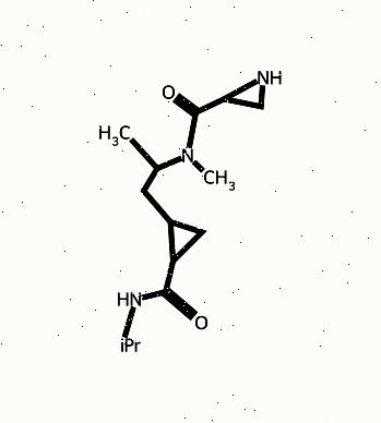 CC(C)NC(=O)C1CC1CC(C)N(C)C(=O)C1CN1